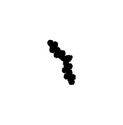 Cc1cc(C)c(B(c2ccc3oc4c(-n5c6ccccc6c6c7c8ccccc8n(-c8cccc9c8oc8ccccc89)c7ccc65)cccc4c3c2)c2ccc3oc4c(-n5c6ccccc6c6c7c8ccccc8n(-c8cccc9c8oc8ccccc89)c7ccc65)cccc4c3c2)c(C)c1